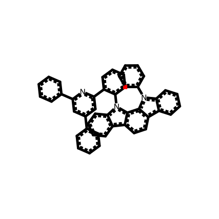 c1ccc(-c2cc(-c3ccccc3)nc(-c3ccccc3-n3c4ccccc4c4ccc5c6ccccc6n(-c6ccccc6)c5c43)c2)cc1